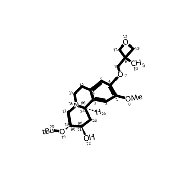 COc1cc2c(cc1OCC1(C)COC1)CCN1C[C@@H](OC(C)(C)C)[C@H](O)C[C@H]21